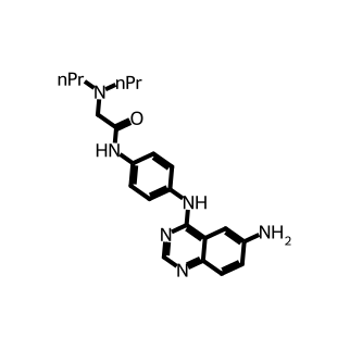 CCCN(CCC)CC(=O)Nc1ccc(Nc2ncnc3ccc(N)cc23)cc1